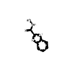 O=C(NO)c1nc2ccccc2[nH]1